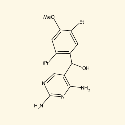 CCc1cc(C(O)c2cnc(N)nc2N)c(C(C)C)cc1OC